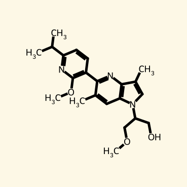 COCC(CO)n1cc(C)c2nc(-c3ccc(C(C)C)nc3OC)c(C)cc21